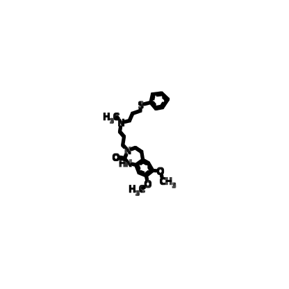 COc1cc2c(cc1OC)NC(=O)N(CCCN(C)CCCSc1ccccc1)CC2